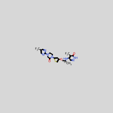 C[C@@H](COc1csc(N2CCN(c3ncc(C(F)(F)F)cn3)CC2=O)c1)Nc1cn[nH]c(=O)c1C(F)(F)F